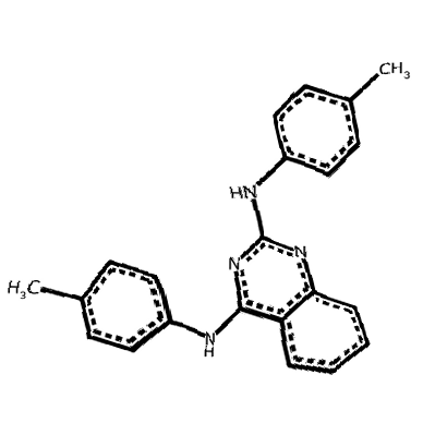 Cc1ccc(Nc2nc(Nc3ccc(C)cc3)c3ccccc3n2)cc1